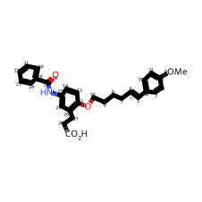 COc1ccc(/C=C/CCCCOc2ccc(NC(=O)c3ccccc3)cc2CCC(=O)O)cc1